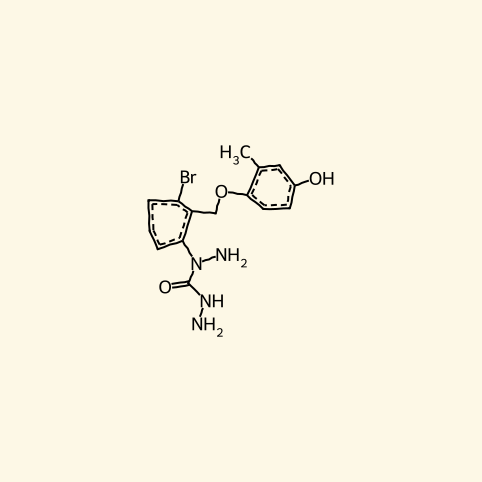 Cc1cc(O)ccc1OCc1c(Br)cccc1N(N)C(=O)NN